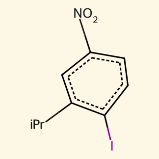 CC(C)c1cc([N+](=O)[O-])ccc1I